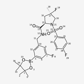 CC1(C)OB(c2cc(F)cc(CNC(=O)[C@H]3C[C@@](C)(F)CN3S(=O)(=O)c3ccc(F)cc3)c2)OC1(C)C